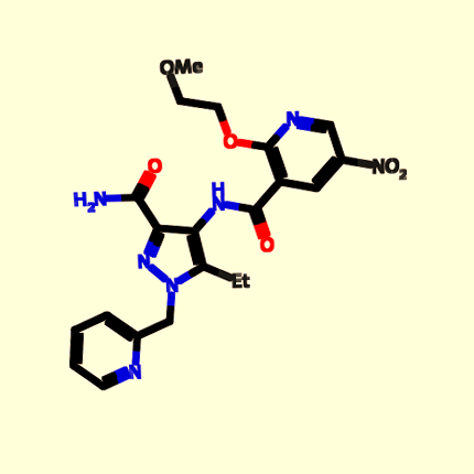 CCc1c(NC(=O)c2cc([N+](=O)[O-])cnc2OCCOC)c(C(N)=O)nn1Cc1ccccn1